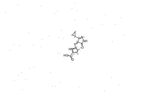 O=C1NN=C(C2CC2)/C1=C/c1ccc(C(=O)O)[nH]1